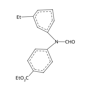 CCOC(=O)c1ccc(N(C=O)c2cccc(CC)c2)cc1